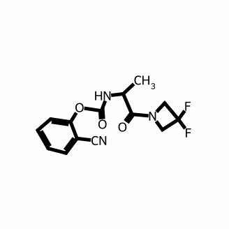 CC(NC(=O)Oc1ccccc1C#N)C(=O)N1CC(F)(F)C1